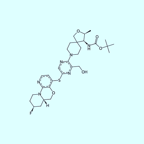 C[C@@H]1OCC2(CCN(c3ncc(Sc4ccnc5c4OC[C@@H]4C[C@@H](F)CCN54)nc3CO)CC2)[C@@H]1NC(=O)OC(C)(C)C